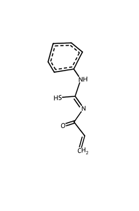 C=CC(=O)N=C(S)Nc1ccccc1